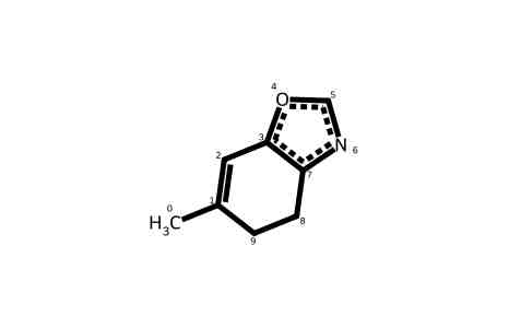 CC1=Cc2ocnc2CC1